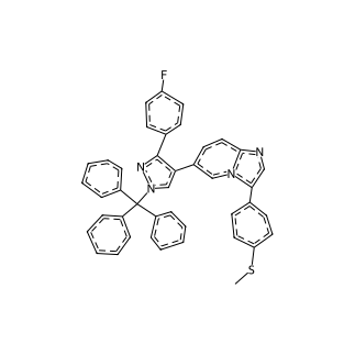 CSc1ccc(-c2cnc3ccc(-c4cn(C(c5ccccc5)(c5ccccc5)c5ccccc5)nc4-c4ccc(F)cc4)cn23)cc1